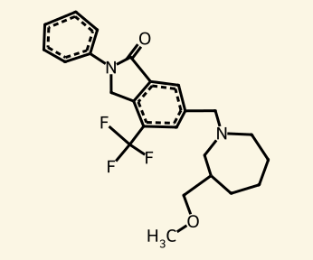 COCC1CCCCN(Cc2cc3c(c(C(F)(F)F)c2)CN(c2ccccc2)C3=O)C1